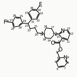 O=C(OCc1ccccn1)c1cccnc1N1CCN(CCCC(c2ccc(F)cc2)c2ccc(F)cc2)CC1